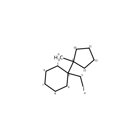 CC1(C2(CI)CCCCC2)CCCC1